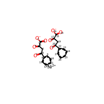 O=C([O-])C(=O)CC(=O)c1ccccc1.O=C([O-])C(=O)CC(=O)c1ccccc1.[Ni+2]